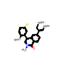 CN/C=C(\CNC)c1ccc2c(=O)n(C)cc(-c3cc(S)ccc3OC)c2c1